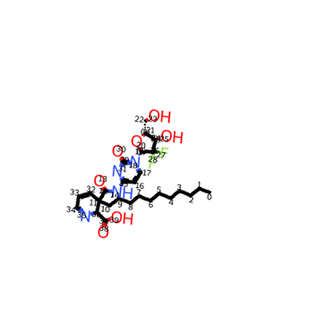 CCCCCCCCCCCC1(C(=O)Nc2ccn([C@@H]3O[C@H](CO)[C@@H](O)C3(F)F)c(=O)n2)C=CC=NC1C(=O)O